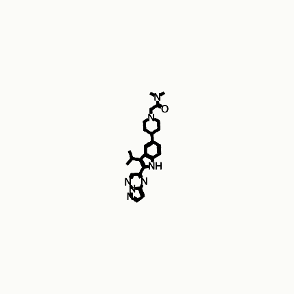 CC(C)c1c(-c2cnn3nccc3n2)[nH]c2ccc(C3CCN(CC(=O)N(C)C)CC3)cc12